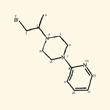 CC(CBr)N1CCN(c2ccccn2)CC1